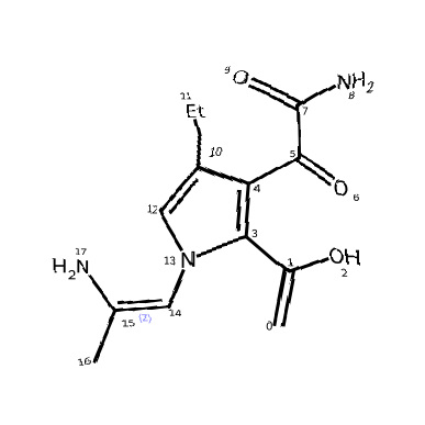 C=C(O)c1c(C(=O)C(N)=O)c(CC)cn1/C=C(/C)N